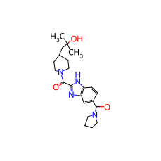 CC(C)(O)CC1CCN(C(=O)c2nc3cc(C(=O)N4CCCC4)ccc3[nH]2)CC1